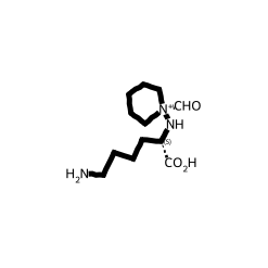 NCCCC[C@H](N[N+]1(C=O)CCCCC1)C(=O)O